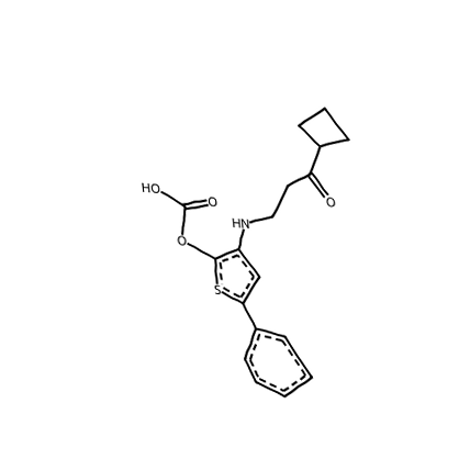 O=C(O)Oc1sc(-c2ccccc2)cc1NCCC(=O)C1CCC1